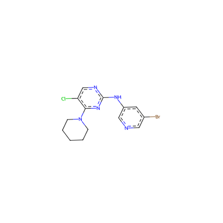 Clc1cnc(Nc2cncc(Br)c2)nc1N1CCCCC1